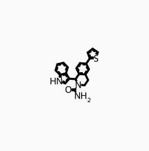 NC(=O)N1CCc2cc(-c3cccs3)ccc2C1c1c[nH]c2ccccc12